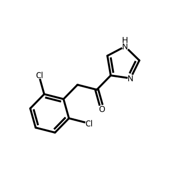 O=C(Cc1c(Cl)cccc1Cl)c1c[nH]cn1